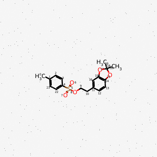 Cc1ccc(S(=O)(=O)OCCc2ccc3c(c2)OC(C)(C)O3)cc1